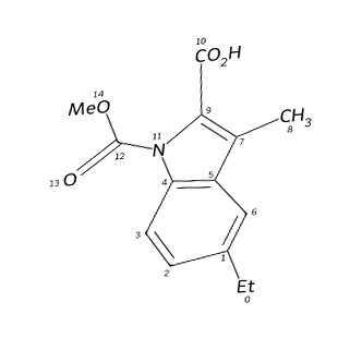 CCc1ccc2c(c1)c(C)c(C(=O)O)n2C(=O)OC